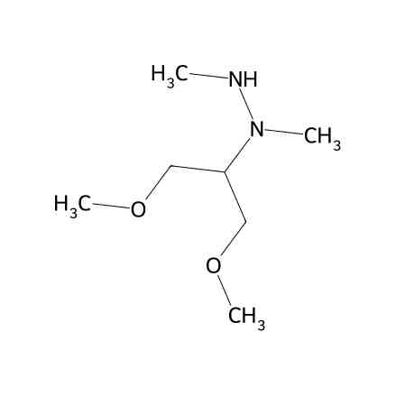 CNN(C)C(COC)COC